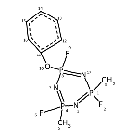 CP1(F)=NP(C)(F)=NP(F)(Oc2ccccc2)=N1